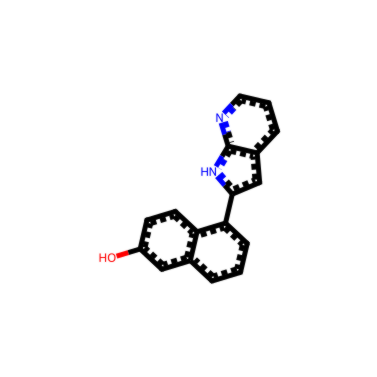 Oc1ccc2c(-c3cc4cccnc4[nH]3)cccc2c1